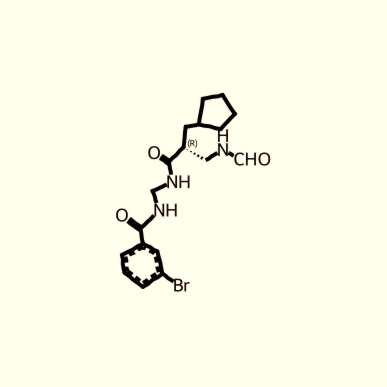 O=CNC[C@@H](CC1CCCC1)C(=O)NCNC(=O)c1cccc(Br)c1